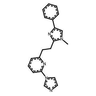 Cn1cc(-c2ccccc2)nc1CCc1cccc(-n2ccnc2)n1